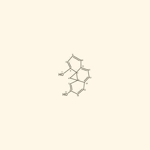 OC1=CC23CC24C(O)=CC=CC4=CC=C3C=C1